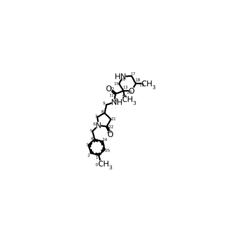 Cc1ccc(CN2CC(CNC(=O)C3(C)CNCC(C)O3)CC2=O)cc1